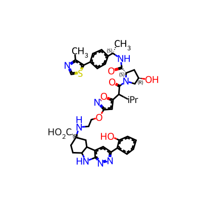 Cc1ncsc1-c1ccc([C@H](C)NC(=O)[C@@H]2C[C@@H](O)CN2C(=O)C(c2cc(OCCN[C@]3(C(=O)O)CCC4Nc5nnc(-c6ccccc6O)cc5C4C3)no2)C(C)C)cc1